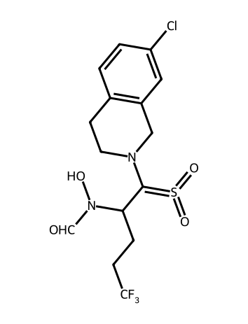 O=CN(O)C(CCC(F)(F)F)C(N1CCc2ccc(Cl)cc2C1)=S(=O)=O